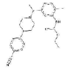 CCOC(=O)Nc1cc(C(C)N2CCC(c3ccc(C#N)cc3)CC2)ccc1C